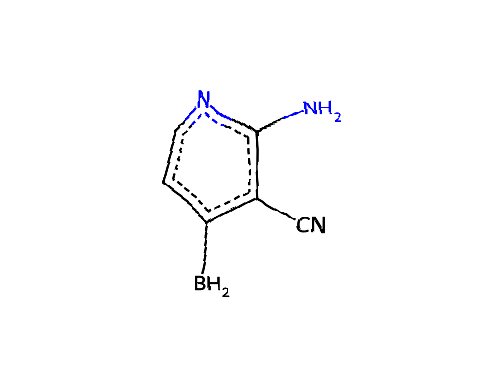 Bc1ccnc(N)c1C#N